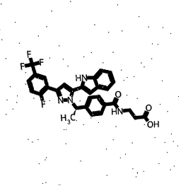 C[C@@H](c1ccc(C(=O)NCCC(=O)O)cc1)n1nc(-c2cc(C(F)(F)F)ccc2F)cc1-c1cc2ccccc2[nH]1